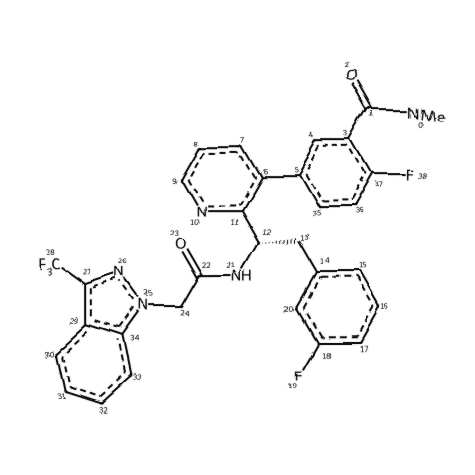 CNC(=O)c1cc(-c2cccnc2[C@H](Cc2cccc(F)c2)NC(=O)Cn2nc(C(F)(F)F)c3ccccc32)ccc1F